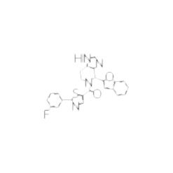 O=C(c1cnc(-c2cccc(F)c2)s1)N1CCc2[nH]cnc2[C@H]1c1cc2ccccc2o1